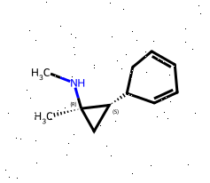 CN[C@]1(C)C[C@H]1C1C=CC=CC1